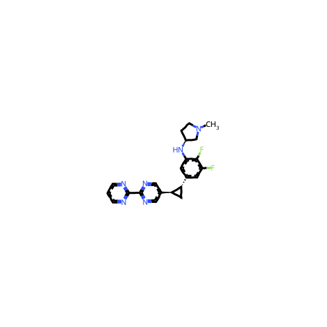 CN1CC[C@H](Nc2cc([C@@H]3C[C@H]3c3cnc(-c4ncccn4)nc3)cc(F)c2F)C1